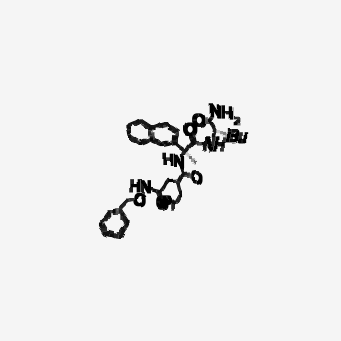 CCC(C)[C@H](NC(=O)[C@@](C)(NC(=O)C(CC(=O)NOCc1ccccc1)CC(C)C)c1ccc2ccccc2c1)C(N)=O